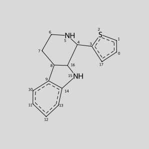 c1csc(C2NCCC3c4ccccc4NC32)c1